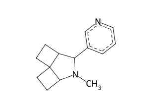 CN1C(c2cccnc2)C2CCC23CCC13